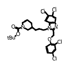 CC(C)(C)OC(=O)N1CCCC(CCCn2c(COc3ccc(Cl)cc3Cl)nc3cc(Cl)c(Cl)cc32)C1